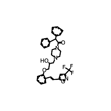 O=C(C(c1ccccc1)c1ccccc1)N1CCN(CC(O)COc2ccccc2C=Cc2cc(C(F)(F)F)no2)CC1